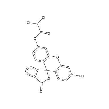 O=C1OC2(c3ccc(O)cc3Oc3cc(OC(=O)C(Cl)Cl)ccc32)c2ccccc21